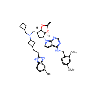 C=C1O[C@@H]2[C@@H](CN(CC3CCC3)[C@H]3C[C@@H](CCc4nc5cc(C(C)(C)C)ccc5[nH]4)C3)C[C@@H](n3ccc4c(NCc5ccc(OC)cc5OC)ncnc43)[C@@H]2O1